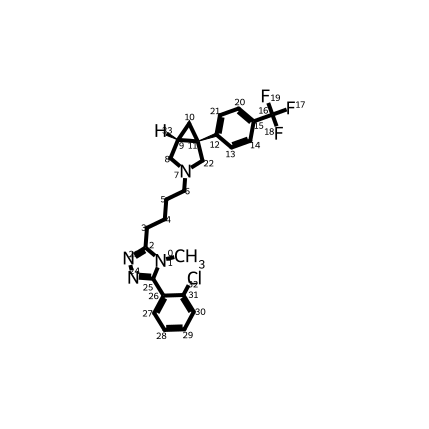 Cn1c(CCCCN2C[C@@H]3C[C@]3(c3ccc(C(F)(F)F)cc3)C2)nnc1-c1ccccc1Cl